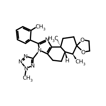 Cc1ccccc1-c1nc2c(n1-c1nnn(C)n1)CC[C@H]1[C@H](C)C3(CC[C@]21C)OCCO3